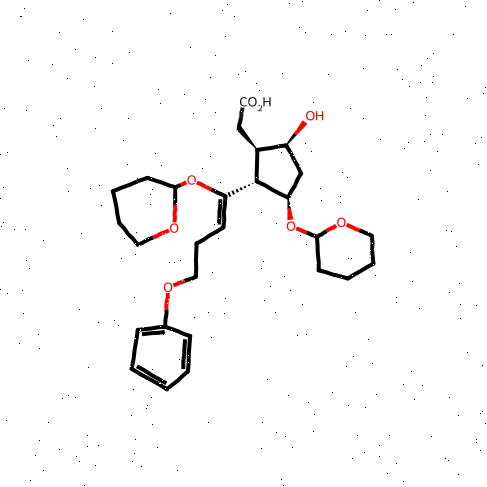 O=C(O)C[C@@H]1[C@@H](C(=CCCOc2ccccc2)OC2CCCCO2)[C@H](OC2CCCCO2)C[C@@H]1O